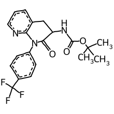 CC(C)(C)OC(=O)NC1Cc2cccnc2N(c2ccc(C(F)(F)F)cc2)C1=O